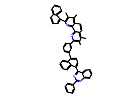 Cc1c(-c2cccc(-c3ccc(-c4nc(-c5ccccc5)nc5ccccc45)c4ccccc34)c2)nc2c(ccc3c(C)c(C)c(-c4cccc5ccccc45)nc32)c1C